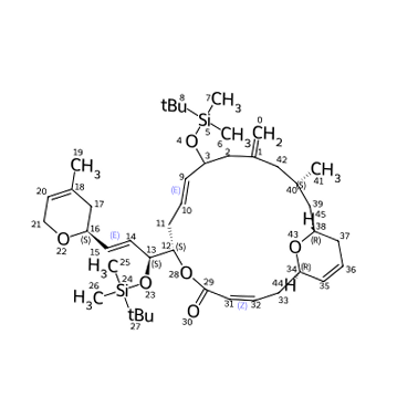 C=C1CC(O[Si](C)(C)C(C)(C)C)/C=C/C[C@@H]([C@H](/C=C/[C@@H]2CC(C)=CCO2)O[Si](C)(C)C(C)(C)C)OC(=O)/C=C\C[C@@H]2C=CC[C@@H](C[C@@H](C)C1)O2